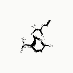 CCOC(=O)[C@@H](C)Oc1nc(Cl)ccc1[N+](=O)[O-]